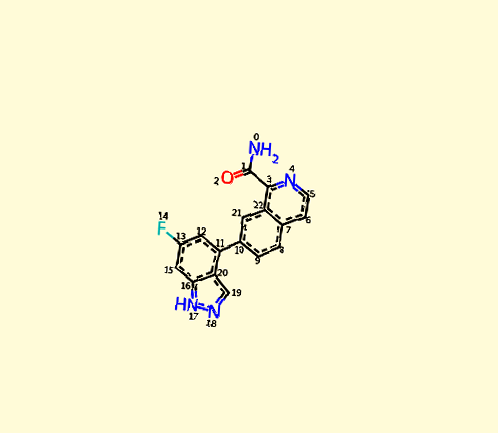 NC(=O)c1n[c]cc2ccc(-c3cc(F)cc4[nH]ncc34)cc12